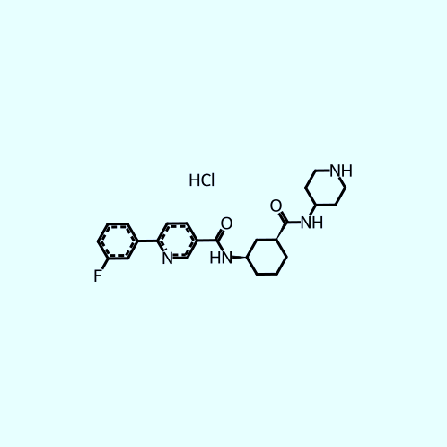 Cl.O=C(N[C@@H]1CCC[C@H](C(=O)NC2CCNCC2)C1)c1ccc(-c2cccc(F)c2)nc1